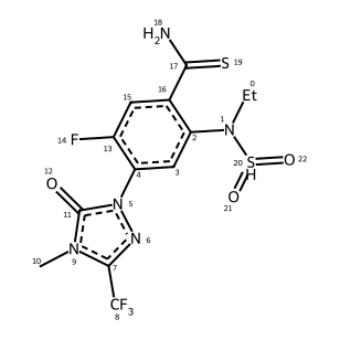 CCN(c1cc(-n2nc(C(F)(F)F)n(C)c2=O)c(F)cc1C(N)=S)[SH](=O)=O